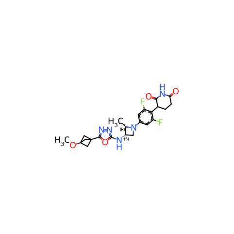 COC12CC(c3nnc(N[C@H]4CN(c5cc(F)c(C6CCC(=O)NC6=O)c(F)c5)[C@@H]4C)o3)(C1)C2